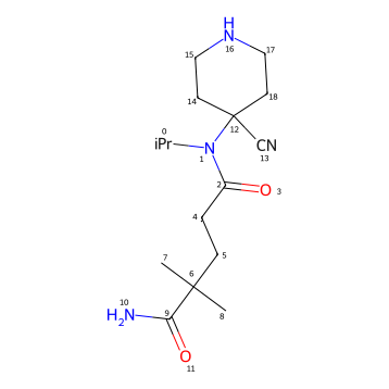 CC(C)N(C(=O)[CH]CC(C)(C)C(N)=O)C1(C#N)CCNCC1